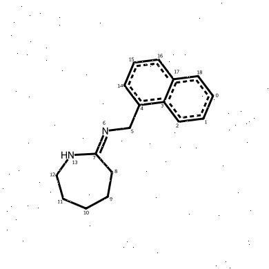 c1ccc2c(CN=C3CCCCCN3)cccc2c1